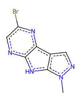 Cn1ncc2c3nc(Br)cnc3[nH]c21